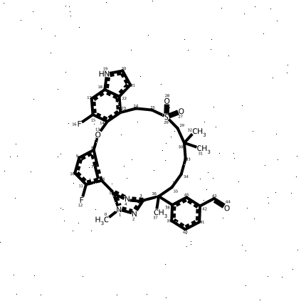 Cn1nc2nc1-c1cc(ccc1F)Oc1c(F)cc3[nH]ccc3c1CCS(=O)(=O)CC(C)(C)CCCC2(C)c1cccc(C=O)c1